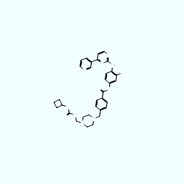 Cc1cc(NC(=O)c2ccc(CN3CC[N+](C)(COC(=O)OC4CCC4)CC3)cc2)ccc1Nc1nccc(-c2cccnc2)n1